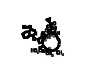 COc1cnc(O[C@@H]2C[C@H]3C(=O)N[C@]4(C(=O)NS(=O)(=O)C5CC5)C[C@H]4C=CCC[C@@H](C)C[C@@H](C)[C@H](NC(=O)O)C(=O)N3C2)c2ccccc12